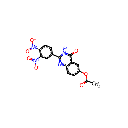 CC(=O)Oc1ccc2nc(-c3ccc([N+](=O)[O-])c([N+](=O)[O-])c3)[nH]c(=O)c2c1